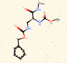 CCCCCCNC(=O)[C@H](CNC(=O)OCc1ccccc1)NC(=O)OC(C)(C)C